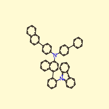 c1ccc(-c2ccc(N(c3ccc(-c4ccc5ccccc5c4)cc3)c3ccc(-c4ccccc4-n4c5ccccc5c5ccccc54)c4ccccc34)cc2)cc1